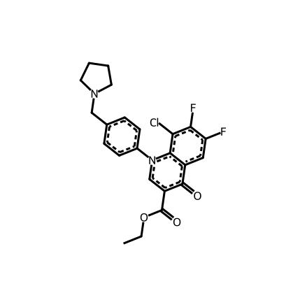 CCOC(=O)c1cn(-c2ccc(CN3CCCC3)cc2)c2c(Cl)c(F)c(F)cc2c1=O